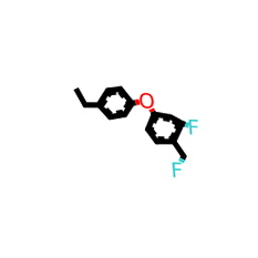 CCc1ccc(Oc2ccc(CF)c(F)c2)cc1